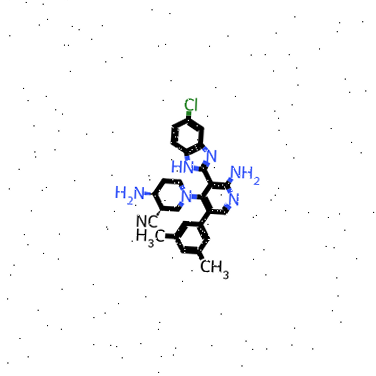 Cc1cc(C)cc(-c2cnc(N)c(-c3nc4cc(Cl)ccc4[nH]3)c2N2CC[C@H](N)[C@@H](C#N)C2)c1